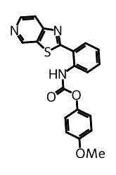 COc1ccc(OC(=O)Nc2ccccc2-c2nc3ccncc3s2)cc1